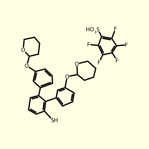 O=S(=O)(O)c1c(F)c(F)c(F)c(F)c1F.Sc1cccc(-c2cccc(OC3CCCCO3)c2)c1-c1cccc(OC2CCCCO2)c1